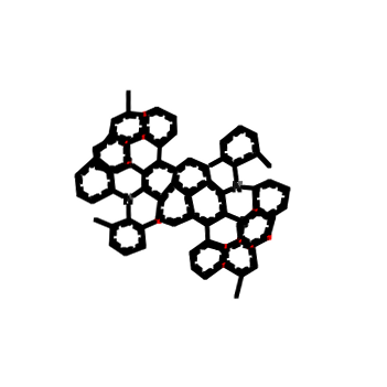 Cc1cc(C)c(B2c3ccccc3N(c3c(C)cccc3C)c3c2c(-c2ccccc2-c2ccccc2)c2ccc4c5c(c(-c6ccccc6-c6ccccc6)c6ccc3c2c64)B(c2c(C)cc(C)cc2C)c2ccccc2N5c2c(C)cccc2C)c(C)c1